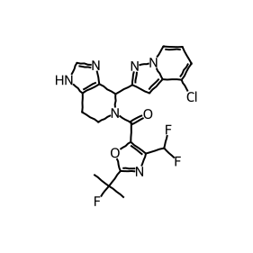 CC(C)(F)c1nc(C(F)F)c(C(=O)N2CCc3[nH]cnc3C2c2cc3c(Cl)cccn3n2)o1